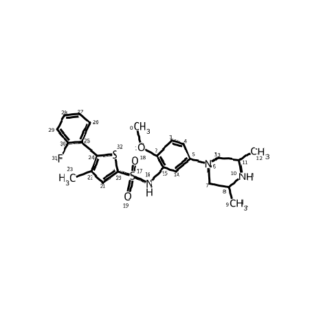 COc1ccc(N2CC(C)NC(C)C2)cc1NS(=O)(=O)c1cc(C)c(-c2ccccc2F)s1